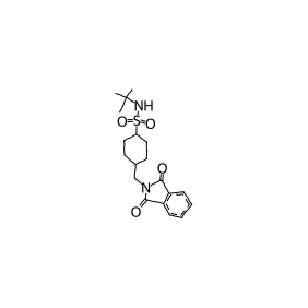 CC(C)(C)NS(=O)(=O)C1CCC(CN2C(=O)c3ccccc3C2=O)CC1